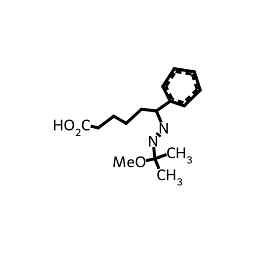 COC(C)(C)/N=N/C(CCCCC(=O)O)c1ccccc1